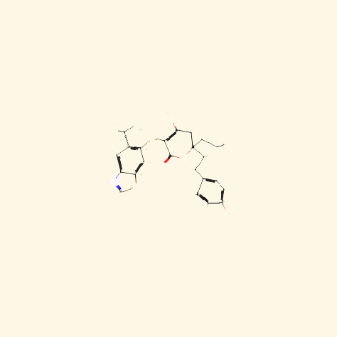 CCCC1(CCc2ccc(O)cc2)CC(O)=C(Sc2cc3scnc3cc2C(C)C)C(=O)O1